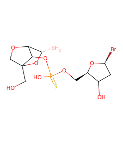 B[C@@H]1OC2(CO)COC1C2OP(O)(=S)OC[C@H]1O[C@@H](Br)CC1O